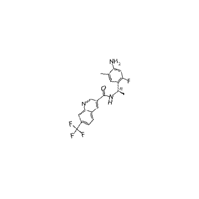 Cc1cc([C@@H](C)NC(=O)c2cnc3cc(C(F)(F)F)ccc3c2)c(F)cc1N